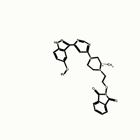 CC(C)Oc1ccc2[nH]nc(-c3cc(N4CCN(CCON5C(=O)c6ccccc6C5=O)[C@@H](C)C4)ncn3)c2c1